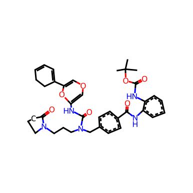 CC(C)(C)OC(=O)Nc1ccccc1NC(=O)c1ccc(CN(CCCN2CCCC2=O)C(=O)NC2=COC=C(C3=CC=CCC3)O2)cc1